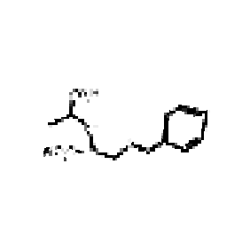 CCOC(=O)[C@H](CSCc1ccccc1)N[C@@H](C)C(=O)O